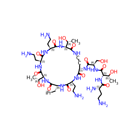 CC(C)C[C@H]1NC(=O)[C@H](CCN)NC(=O)[C@@H](NC(=O)[C@@H](CO)NC(=O)[C@@H](NC(=O)[C@@H](N)CCN)[C@@H](C)O)CCNC(=O)[C@H]([C@@H](C)O)NC(=O)[C@H](CCN)NC(=O)[C@H](CCN)NC(=O)[C@H]([C@@H](C)O)NC1=O